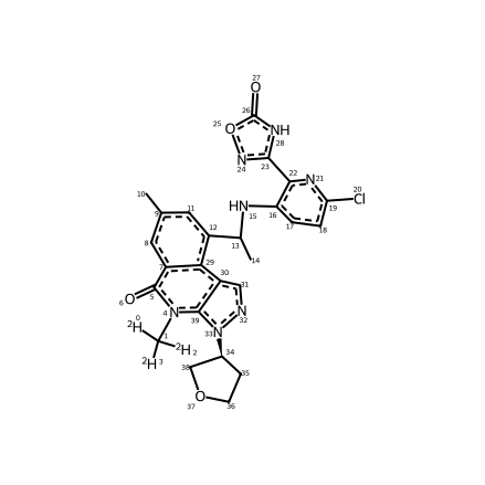 [2H]C([2H])([2H])n1c(=O)c2cc(C)cc(C(C)Nc3ccc(Cl)nc3-c3noc(=O)[nH]3)c2c2cnn([C@H]3CCOC3)c21